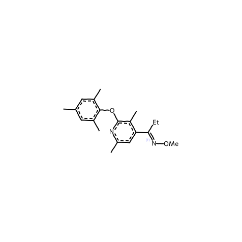 CC/C(=N\OC)c1cc(C)nc(Oc2c(C)cc(C)cc2C)c1C